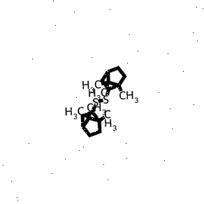 CC1(C)C2CCC1(C)C(SSC1CC3CCC1(C)C3(C)C)C2